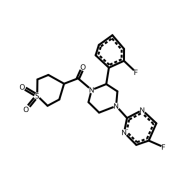 O=C(C1CCS(=O)(=O)CC1)N1CCN(c2ncc(F)cn2)CC1c1ccccc1F